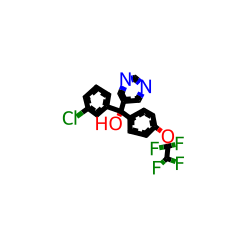 OC(c1ccc(OC(F)(F)C(F)F)cc1)(c1cncnc1)c1cccc(Cl)c1